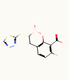 O=C(O)c1c(F)ccc2c1OB(O)[C@@H](Sc1nncs1)C2